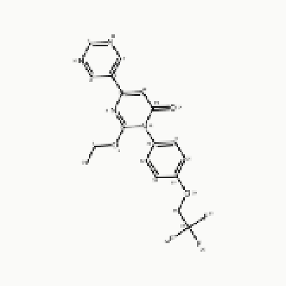 CCOc1nc(-c2cncnc2)cc(=O)n1-c1ccc(OCC(F)(F)F)cc1